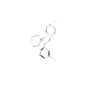 CN1CCN(CC(c2cccc(Cl)c2)C2(O)CCOCC2)CC1